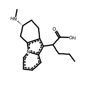 CCCC(C(=O)O)c1c2c(n3ccccc13)C[C@H](NC)CC2